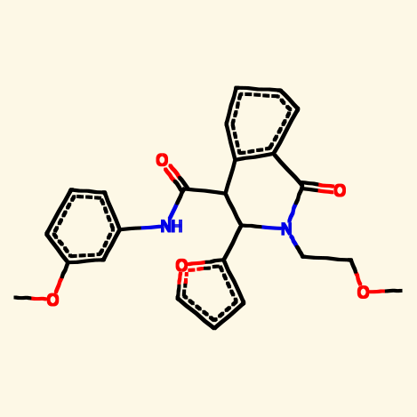 COCCN1C(=O)c2ccccc2C(C(=O)Nc2cccc(OC)c2)C1c1ccco1